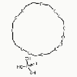 C1CCCCCCCCCCOOCCCCCCCCC1.O=P(O)(O)O